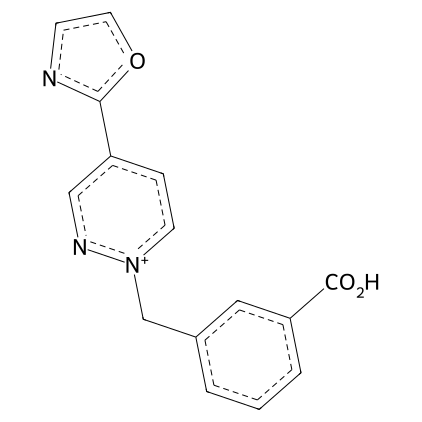 O=C(O)c1cccc(C[n+]2ccc(-c3ncco3)cn2)c1